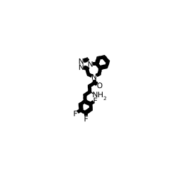 N[C@@H](CC(=O)N1Cc2ccccc2-n2cnnc2C1)Cc1cc(F)c(F)cc1F